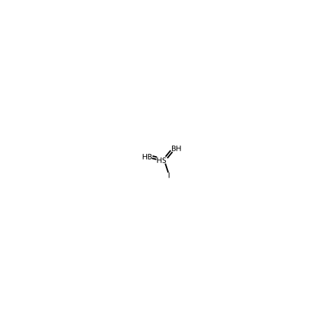 B=[SH](=B)I